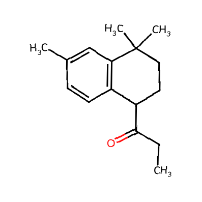 CCC(=O)C1CCC(C)(C)c2cc(C)ccc21